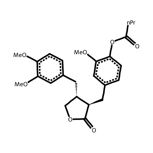 CCCC(=O)Oc1ccc(C[C@H]2C(=O)OC[C@@H]2Cc2ccc(OC)c(OC)c2)cc1OC